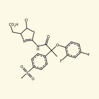 CC(Oc1ccc(F)cc1F)(C(=O)NC1=NC(CC(=O)O)C(Cl)S1)c1ccc(S(C)(=O)=O)cc1